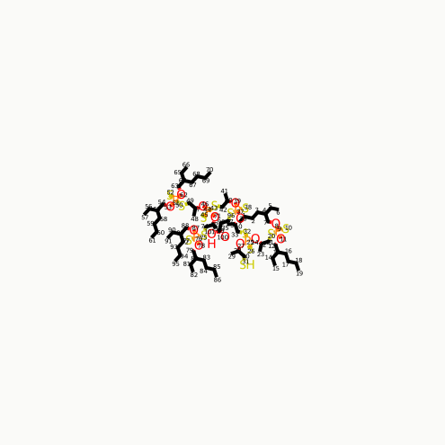 CCCCC(CC)COP(=S)(OCC(CC)CCCC)SCC(C)OP(=S)(OC(C)CS)SCC(C)OP(=S)(OC(C)CSP(=S)(OC(C)CSP(=S)(OCC(CC)CCCC)OCC(CC)CCCC)OC(C)CSP(=S)(OCC(CC)CCCC)OCC(CC)CCCC)SCCC(=O)O